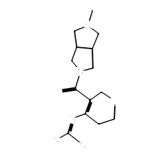 C=C(C1=C(N=C(N)N)CCOC1)N1CC2CN(C)CC2C1